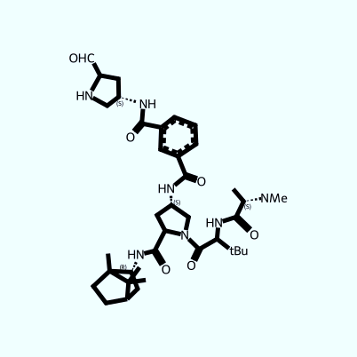 CN[C@@H](C)C(=O)NC(C(=O)N1C[C@@H](NC(=O)c2cccc(C(=O)N[C@@H]3CNC(C=O)C3)c2)CC1C(=O)N[C@@H]1CC2CCC1(C)C2(C)C)C(C)(C)C